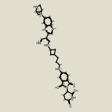 N=C/C(=C\NC1CC(CCCNc2ccc3c(c2)C(=O)N(C2CCC(=O)NC2=O)C3=O)C1)c1cnc2ccc(N3CC4CC3CN4)cc2n1